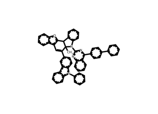 CC12C(c3ccc4c(c3)c3ccccc3n4-c3ccccc3)=Cc3c(oc4ccccc34)C1c1ccccc1N2c1nc(-c2ccc(-c3ccccc3)cc2)c2ccccc2n1